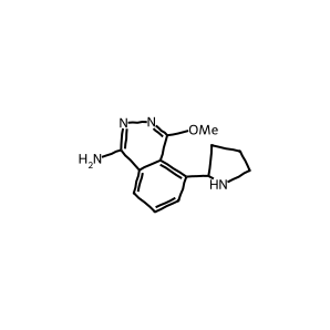 COc1nnc(N)c2cccc(C3CCCN3)c12